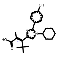 C/C(C(=O)O)=C(\c1cn(C2CCCCC2)c(-c2ccc(O)cc2)n1)C(C)(C)C